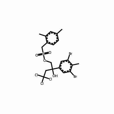 Cc1ccc(CS(=O)(=O)OCC(O)(CC(Cl)(Cl)Cl)c2cc(Br)c(C)c(Br)c2)c(C)c1